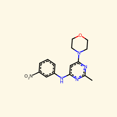 Cc1nc(Nc2cccc([N+](=O)[O-])c2)cc(N2CCOCC2)n1